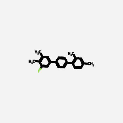 Cc1ccc(-c2ccc(-c3cc(C)c(C)c(F)c3)cc2)c(C)c1